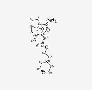 NC(=O)C12[CH]C(CC1)Cc1ccc(OCCN3CCOCC3)cc1C2